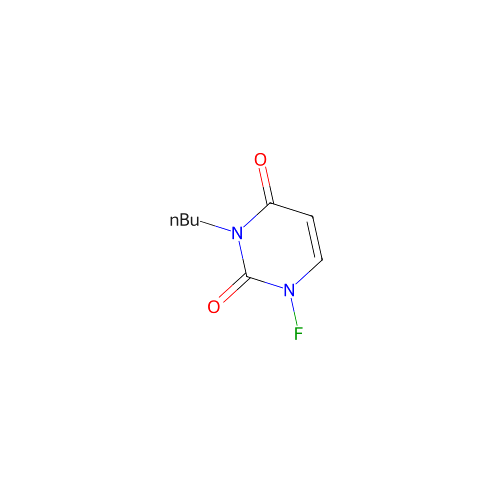 CCCCn1c(=O)ccn(F)c1=O